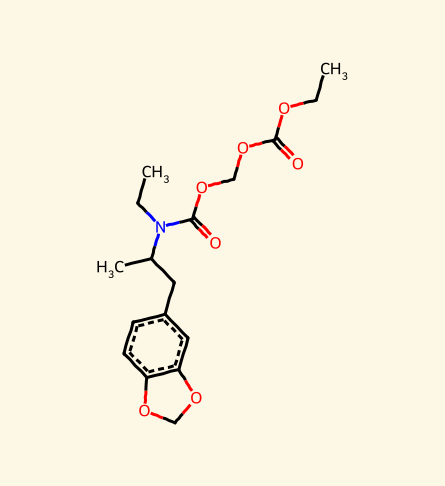 CCOC(=O)OCOC(=O)N(CC)C(C)Cc1ccc2c(c1)OCO2